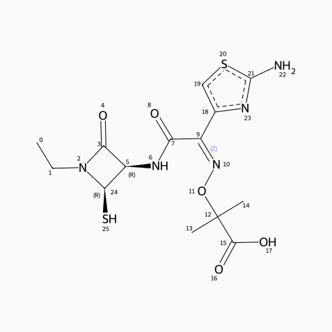 CCN1C(=O)[C@@H](NC(=O)/C(=N\OC(C)(C)C(=O)O)c2csc(N)n2)[C@H]1S